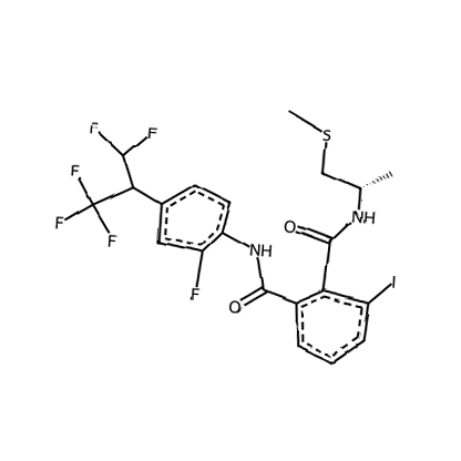 CSC[C@H](C)NC(=O)c1c(I)cccc1C(=O)Nc1ccc(C(C(F)F)C(F)(F)F)cc1F